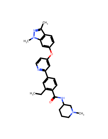 CCc1cc(-c2cc(Oc3ccc4c(C)nn(C)c4c3)ccn2)ccc1C(=O)NC1CCCN(C)C1